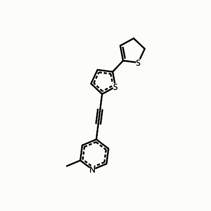 Cc1cc(C#Cc2ccc(C3=CCCS3)s2)ccn1